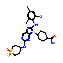 NC(=O)C1CCC(n2c(Nc3c(Cl)cc(Cl)cc3Cl)nc3cnc(NC4CCS(=O)(=O)CC4)nc32)CC1